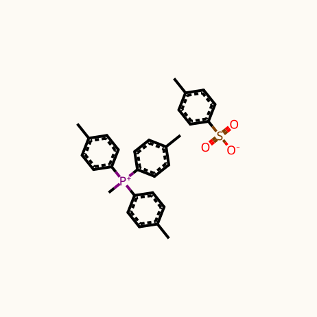 Cc1ccc(S(=O)(=O)[O-])cc1.Cc1ccc([P+](C)(c2ccc(C)cc2)c2ccc(C)cc2)cc1